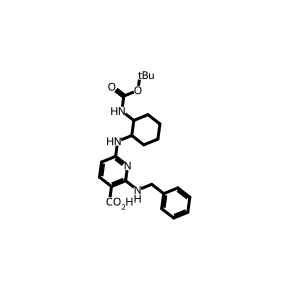 CC(C)(C)OC(=O)NC1CCCCC1Nc1ccc(C(=O)O)c(NCc2ccccc2)n1